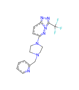 FC(F)(F)c1nnc2ccc(N3CCN(Cc4ccccn4)CC3)nn12